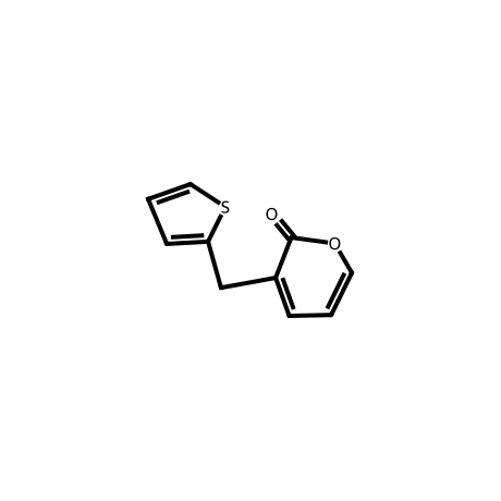 O=c1occcc1Cc1cccs1